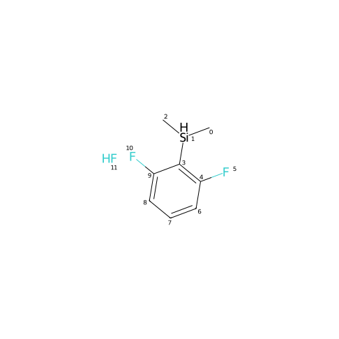 C[SiH](C)c1c(F)cccc1F.F